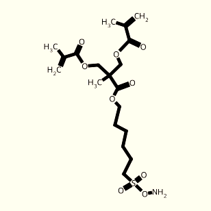 C=C(C)C(=O)OCC(C)(COC(=O)C(=C)C)C(=O)OCCCCCCS(=O)(=O)ON